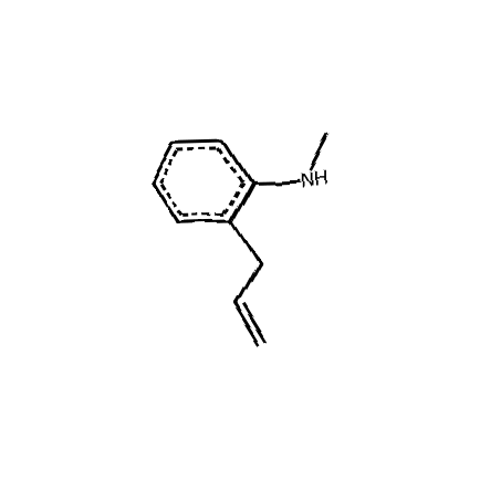 C=CCc1ccccc1NC